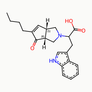 CCCCC1=C[C@@H]2CN(C(Cc3c[nH]c4ccccc34)C(=O)O)C[C@@H]2C1=O